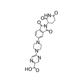 O=C1CCC(N2C(=O)c3ccc(N4CCN(c5cnc(C(=O)O)cn5)CC4)cc3C2=O)C(=O)N1